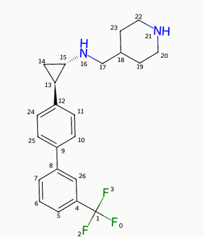 FC(F)(F)c1cccc(-c2ccc([C@H]3C[C@@H]3NCC3CCNCC3)cc2)c1